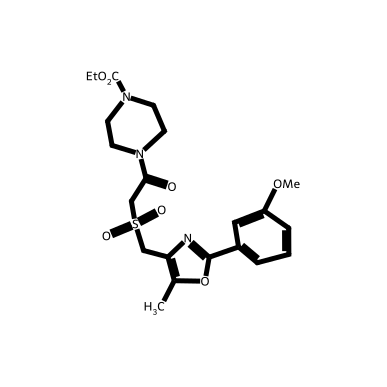 CCOC(=O)N1CCN(C(=O)CS(=O)(=O)Cc2nc(-c3cccc(OC)c3)oc2C)CC1